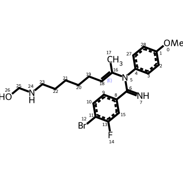 COc1ccc(N(C(=N)c2ccc(Br)c(F)c2)/C(C)=C/CCCCCNCO)cc1